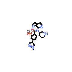 Cn1cc(-c2ccc(C(=O)N(c3nccc4ccn(C)c34)[C@@H]3CCCNC3)c(F)c2)cn1.O=CO